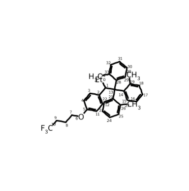 CCC(c1ccc(OCCCC(F)(F)F)cc1)C(c1ccccc1C)(c1ccccc1C)c1ccccc1C